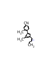 C=C/C=C\C1=C2C(C)C2C(c2ccc(C#N)cc2C)=C1